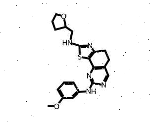 COc1cccc(Nc2ncc3c(n2)-c2sc(NCC4CCCO4)nc2CC3)c1